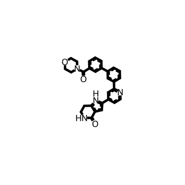 O=C1NCCc2[nH]c(-c3ccnc(-c4cccc(-c5cccc(C(=O)N6CCOCC6)c5)c4)c3)cc21